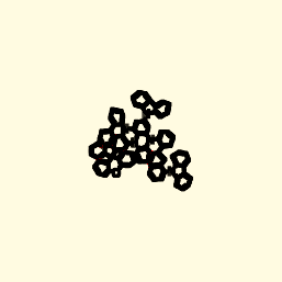 c1ccc(-c2ccccc2N2c3cc(-c4cccc(-n5c6ccccc6c6ccccc65)c4)ccc3B3c4cc5c(cc4N(c4ccccc4-c4ccccc4)c4cc(-n6c7ccccc7c7ccccc76)cc2c43)-c2ccccc2C52c3ccccc3Oc3ccccc32)cc1